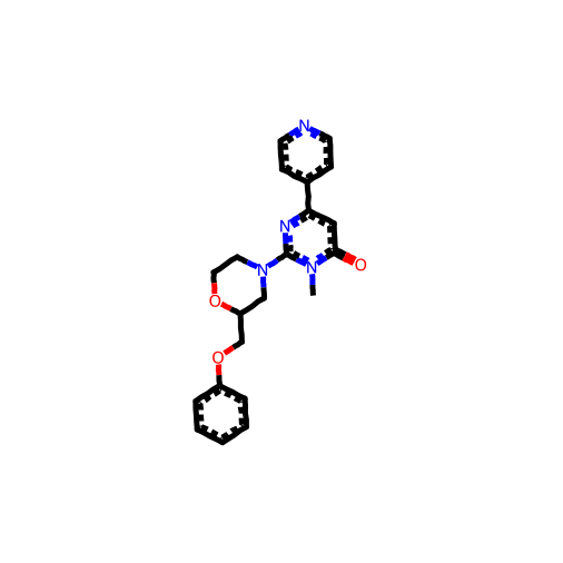 Cn1c(N2CCOC(COc3ccccc3)C2)nc(-c2ccncc2)cc1=O